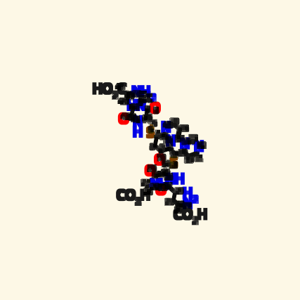 CCNC(=O)[C@H](CSC(CC(=O)CC(SC[C@H](NC(=O)CC[C@H](N)C(=O)O)C(=O)NCC(=O)O)c1ccncn1)c1ncccn1)NC(=O)CC[C@@H](N)C(=O)O